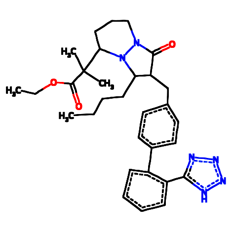 CCCCC1C(Cc2ccc(-c3ccccc3-c3nnn[nH]3)cc2)C(=O)N2CCCC(C(C)(C)C(=O)OCC)N12